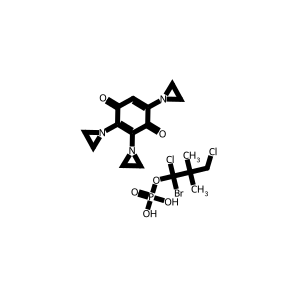 CC(C)(CCl)C(Cl)(Br)OP(=O)(O)O.O=C1C=C(N2CC2)C(=O)C(N2CC2)=C1N1CC1